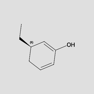 CC[C@H]1C=C(O)C=CC1